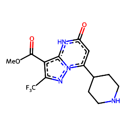 COC(=O)c1c(C(F)(F)F)nn2c(C3CCNCC3)cc(=O)[nH]c12